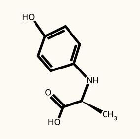 C[C@H](Nc1ccc(O)cc1)C(=O)O